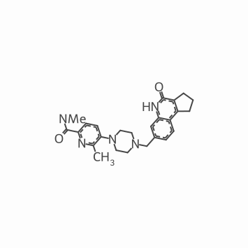 CNC(=O)c1ccc(N2CCN(Cc3ccc4c5c(c(=O)[nH]c4c3)CCC5)CC2)c(C)n1